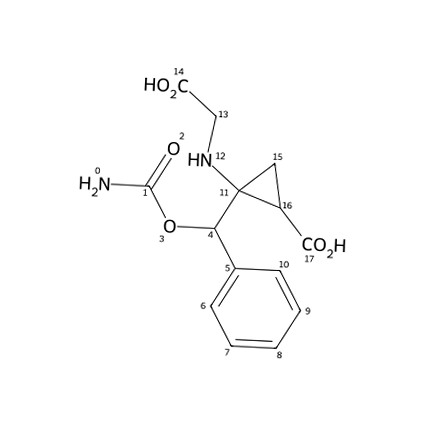 NC(=O)OC(c1ccccc1)C1(NCC(=O)O)CC1C(=O)O